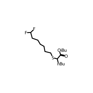 CCCCC(SCCCCCCC(F)F)C(=O)OCC(C)C